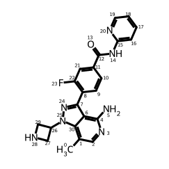 Cc1cnc(N)c2c(-c3ccc(C(=O)Nc4ccccn4)cc3F)nn(C3CNC3)c12